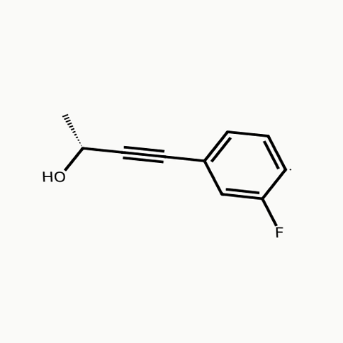 C[C@@H](O)C#Cc1cc[c]c(F)c1